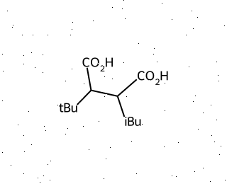 CCC(C)C(C(=O)O)C(C(=O)O)C(C)(C)C